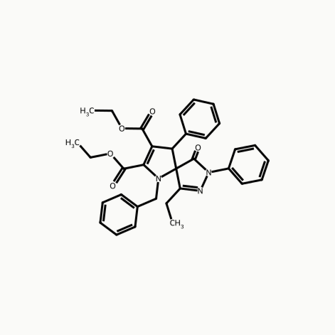 CCOC(=O)C1=C(C(=O)OCC)N(Cc2ccccc2)C2(C(=O)N(c3ccccc3)N=C2CC)C1c1ccccc1